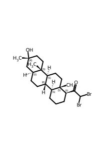 C[C@@]1(O)CC[C@@]2(C)[C@@H](CC[C@@H]3[C@@H]2CC[C@]2(C)[C@@H](C(=O)C(Br)Br)CCC[C@@H]32)C1